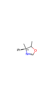 CC(C)[C@]1(C)N=COC1C